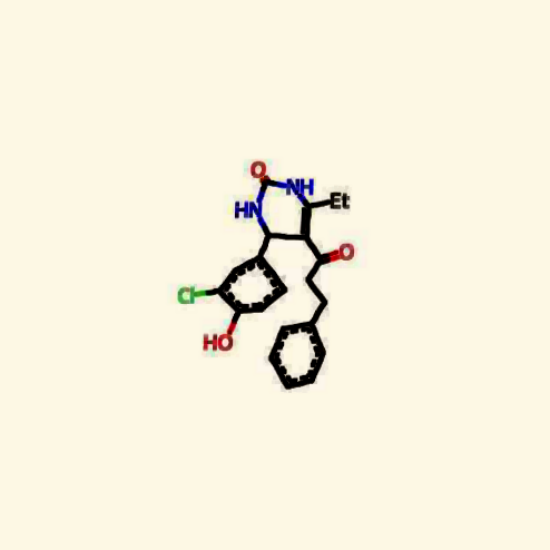 CCC1=C(C(=O)CCc2ccccc2)C(c2ccc(O)c(Cl)c2)NC(=O)N1